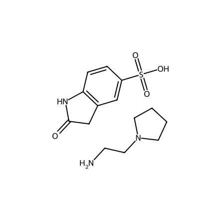 NCCN1CCCC1.O=C1Cc2cc(S(=O)(=O)O)ccc2N1